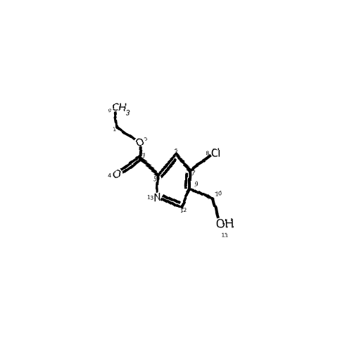 CCOC(=O)c1cc(Cl)c(CO)cn1